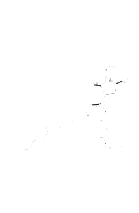 CCCCCCCCCCCCCCCCCCC=C(CCCCCCCCCCCCCC)C1CC(=O)N(CO)C1=O